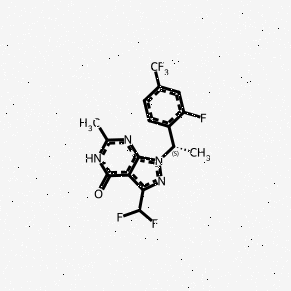 Cc1nc2c(c(C(F)F)nn2[C@@H](C)c2ccc(C(F)(F)F)cc2F)c(=O)[nH]1